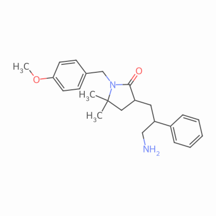 COc1ccc(CN2C(=O)C(CC(CN)c3ccccc3)CC2(C)C)cc1